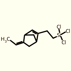 CC=C1CC2CC1C=C2CC[Si](Cl)(Cl)Cl